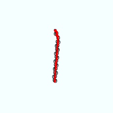 C=CC(=O)OCCCCCC(=O)OCCCCCC(=O)OCCCCCC(=O)OCCCCCC(=O)OCCCCCC(=O)OCCCCCC(=O)OCCCCCC(=O)OCCCCCC(=O)OCCCCCC(=O)OCCCCCC(=O)OCCCCCCO[C@H]1CC[C@H](c2ccc(C(=O)Oc3ccc(-c4ccccc4)cc3)cc2)CC1